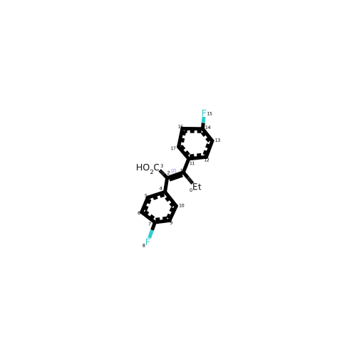 CC/C(=C(/C(=O)O)c1ccc(F)cc1)c1ccc(F)cc1